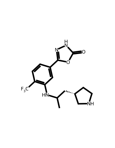 CC(C[C@@H]1CCNC1)Nc1cc(-c2n[nH]c(=O)o2)ccc1C(F)(F)F